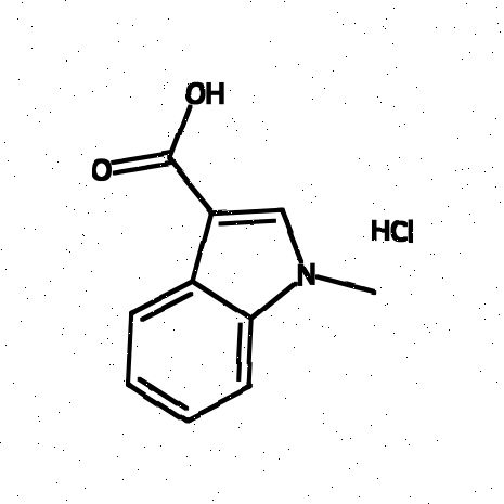 Cl.Cn1cc(C(=O)O)c2ccccc21